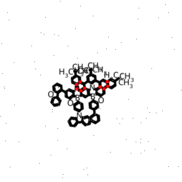 CC(C)(C)c1ccc(-c2cc3c4c(c2)N(c2c(-c5ccccc5)cc(C(C)(C)C)cc2-c2ccccc2)c2cc5c(cc2B4c2ccc(-c4ccccc4)cc2O3)B2c3ccc(-n4c6ccccc6c6ccccc64)cc3Oc3cc(-c4cccc6oc7ccccc7c46)cc(c32)N5c2ccc(C(C)(C)C)cc2)cc1